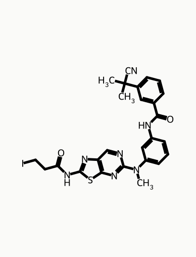 CN(c1cccc(NC(=O)c2cccc(C(C)(C)C#N)c2)c1)c1ncc2nc(NC(=O)CCI)sc2n1